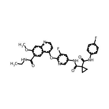 CCNC(=O)c1cc2c(Oc3ncc(NC(=O)C4(C(=O)Nc5ccc(F)cc5)CC4)cc3F)ccnc2cc1OC